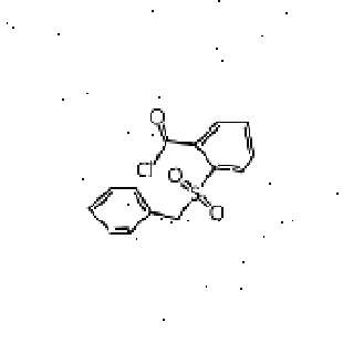 O=C(Cl)c1ccccc1S(=O)(=O)Cc1ccccc1